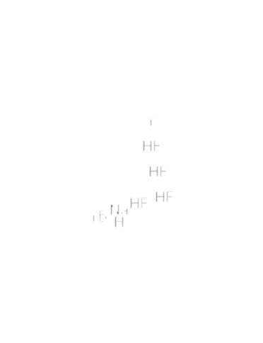 F.F.F.F.[NaH].[Y].[Yb]